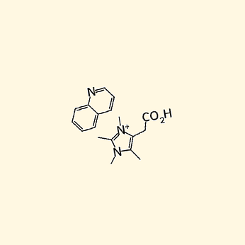 Cc1c(CC(=O)O)[n+](C)c(C)n1C.c1ccc2ncccc2c1